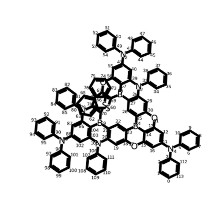 c1ccc(N(c2ccccc2)c2cc3c4c(c2)Oc2cc5c(cc2B4c2cc4c(cc2O3)N(c2ccccc2)c2cc(N(c3ccccc3)c3ccccc3)cc3c2B4c2sc4ccccc4c2O3)B2c3sc4ccccc4c3N(c3ccccc3)c3cc(N(c4ccccc4)c4ccccc4)cc(c32)N5c2ccccc2)cc1